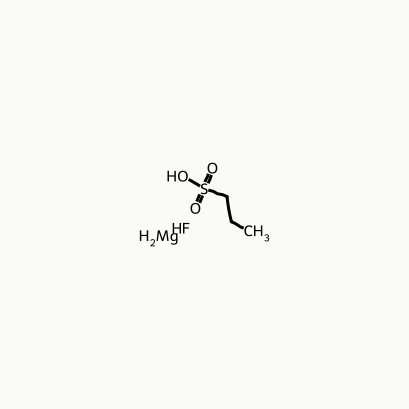 CCCS(=O)(=O)O.F.[MgH2]